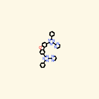 c1ccc(-c2nc(-c3ccc4oc5ccc(-c6nc(-c7ccccc7)nc(-c7ncccn7)n6)cc5c4c3)nc(-c3ncccn3)n2)cc1